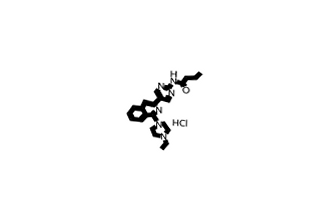 CCCC(=O)Nc1ncc(-c2cc3ccccc3c(N3CCN(CC)CC3)n2)cn1.Cl